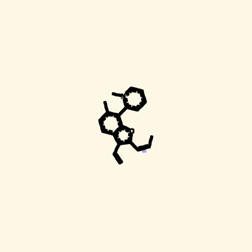 C=Cc1c(/C=C\C)oc2c(-c3cccc[n+]3C)c(C)ccc12